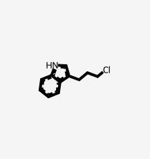 ClCCCc1c[nH]c2ccccc12